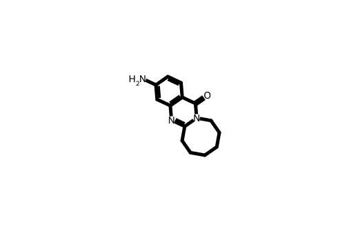 Nc1ccc2c(=O)n3c(nc2c1)CCCCCC3